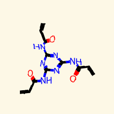 C=CC(=O)Nc1nc(NC(=O)C=C)nc(NC(=O)C=C)n1